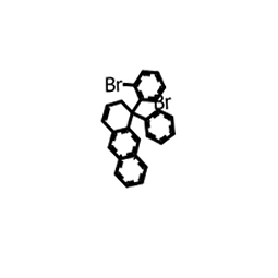 Brc1ccccc1C1(c2ccccc2Br)CC=Cc2cc3ccccc3cc21